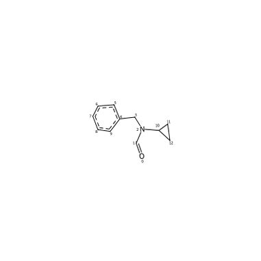 O=[C]N(Cc1ccccc1)C1CC1